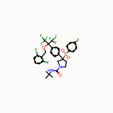 CC(C)(C)NC(=O)N1CCC(c2ccc(C(OCc3c(F)cccc3F)(C(F)(F)F)C(F)(F)F)cc2)(S(=O)(=O)c2ccc(F)cc2)C1